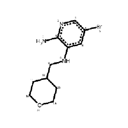 Nc1ncc(Br)cc1NCC1CCOCC1